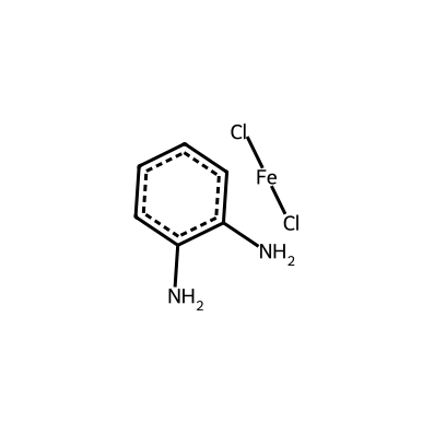 Nc1ccccc1N.[Cl][Fe][Cl]